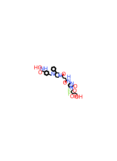 O=C(CCC(=O)N1CCc2c(c3ccccc3n2Cc2ccc(C(=O)NO)cc2)C1)Nc1ccn(C2OC(CO)C(O)C2(F)F)c(=O)n1